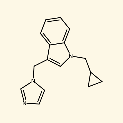 c1ccc2c(c1)c(Cn1ccnc1)cn2CC1CC1